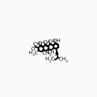 C=C1C2=C(C)[C@@]3(C)C(=O)C(C(C)=O)=C(C)C[C@@]3(C)C[C@@]2(C)Cc2c(C#CC(C)CC)ccc(O)c21